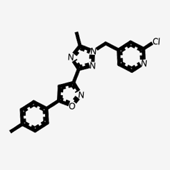 Cc1ccc(-c2cc(-c3nc(C)n(Cc4ccnc(Cl)c4)n3)no2)cc1